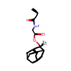 C=CC(=O)NCC(=O)OC1(CC)C2CC3CC(C2)CC1C3